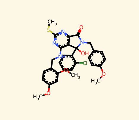 COc1ccc(CN2C(=O)c3nc(SC)nc(NCc4ccc(OC)cc4OC)c3C2(O)c2ccccc2Cl)cc1